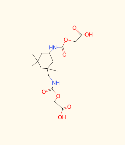 CC1(C)CC(NC(=O)OCC(=O)O)CC(C)(CNC(=O)OCC(=O)O)C1